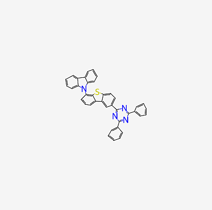 c1ccc(-c2nc(-c3ccccc3)nc(-c3ccc4sc5c(-n6c7ccccc7c7ccccc76)cccc5c4c3)n2)cc1